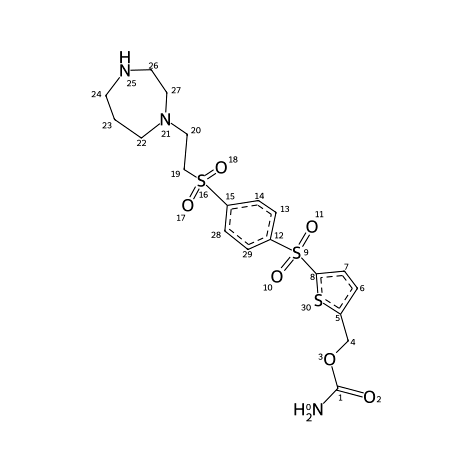 NC(=O)OCc1ccc(S(=O)(=O)c2ccc(S(=O)(=O)CCN3CCCNCC3)cc2)s1